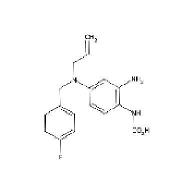 C=CCN(Cc1ccc(F)cc1)c1ccc(NC(=O)O)c(N)c1